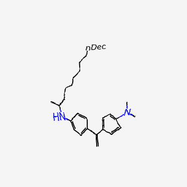 C=C(c1ccc(NC(C)CCCCCCCCCCCCCCCCC)cc1)c1ccc(N(C)C)cc1